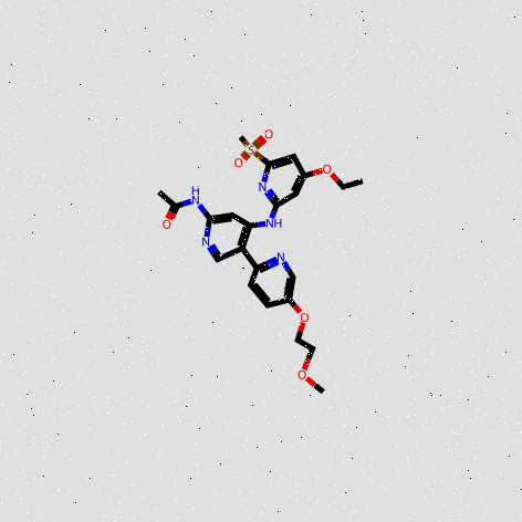 CCOc1cc(Nc2cc(NC(C)=O)ncc2-c2ccc(OCCOC)cn2)nc(S(C)(=O)=O)c1